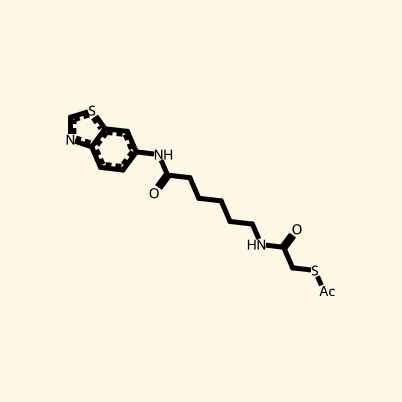 CC(=O)SCC(=O)NCCCCCC(=O)Nc1ccc2ncsc2c1